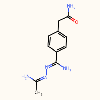 C/C(N)=N/N=C(\N)c1ccc(CC(N)=O)cc1